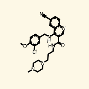 COc1ccc(CNc2c(C(=O)NCCCN3CCN(C)CC3)cnc3ccc(C#N)cc23)cc1Cl